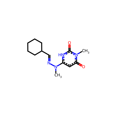 CN(/N=C/C1CCCCC1)c1cc(=O)n(C)c(=O)[nH]1